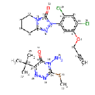 C#CCOc1cc(-n2nc3n(c2=O)CCCC3)c(Cl)cc1Cl.CSc1nnc(C(C)(C)C)c(=O)n1N